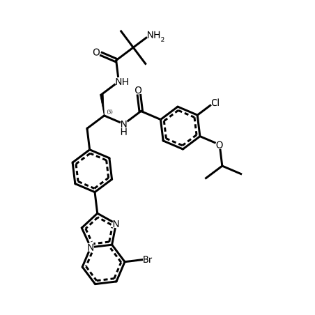 CC(C)Oc1ccc(C(=O)N[C@H](CNC(=O)C(C)(C)N)Cc2ccc(-c3cn4cccc(Br)c4n3)cc2)cc1Cl